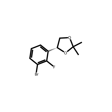 CC1(C)OC[C@@H](c2cccc(Br)c2F)O1